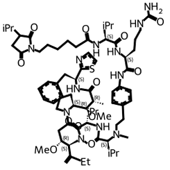 C=C(CC)[C@@H]([C@@H](CC(=O)N1CCC[C@H]1[C@H](OC)[C@@H](C)C(=O)N[C@@H](Cc1ccccc1)c1nccs1)OC)N(C)C(=O)[C@@H](NC(=O)[C@H](C(C)C)N(C)CCc1ccc(NC(=O)[C@H](CCCNC(N)=O)NC(=O)[C@@H](NC(=O)CCCCCN2C(=O)CC(C(C)C)C2=O)C(C)C)cc1)C(C)C